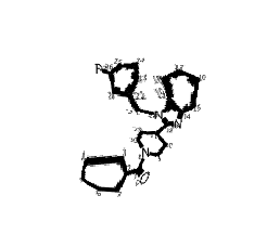 O=C(C1CCCCC1)N1CCC(c2nc3ccccc3n2Cc2cccc(F)c2)CC1